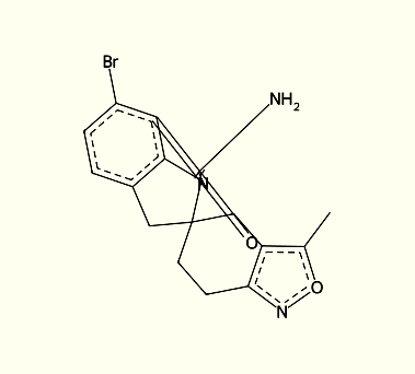 Cc1onc2c1CC1(CC2)Cc2ccc(Br)cc2C12N=C(N)CC2=O